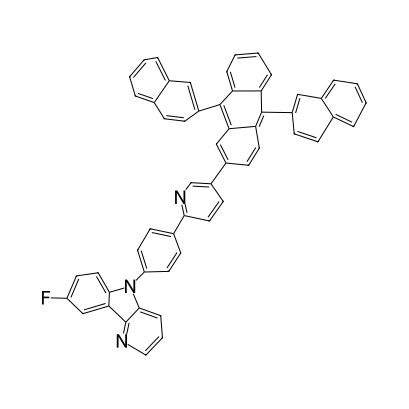 Fc1ccc2c(c1)c1ncccc1n2-c1ccc(-c2ccc(-c3ccc4c(-c5ccc6ccccc6c5)c5ccccc5c(-c5ccc6ccccc6c5)c4c3)cn2)cc1